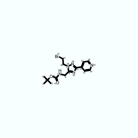 CC(C)(C)OC(=O)NCc1nc(-c2ccncc2)nn1CCBr